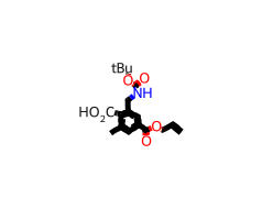 C=CCOC(=O)c1cc(C)c(C(=O)O)c(CNC(=O)OC(C)(C)C)c1